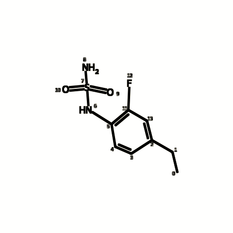 CCc1ccc(NS(N)(=O)=O)c(F)c1